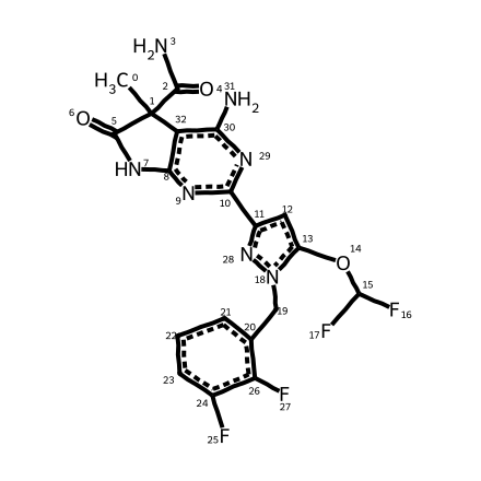 CC1(C(N)=O)C(=O)Nc2nc(-c3cc(OC(F)F)n(Cc4cccc(F)c4F)n3)nc(N)c21